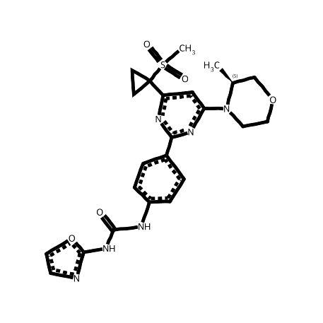 C[C@H]1COCCN1c1cc(C2(S(C)(=O)=O)CC2)nc(-c2ccc(NC(=O)Nc3ncco3)cc2)n1